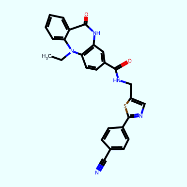 CCN1c2ccc(C(=O)NCc3cnc(-c4ccc(C#N)cc4)s3)cc2NC(=O)c2ccccc21